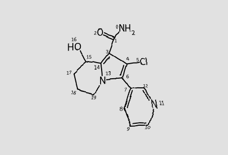 NC(=O)c1c(Cl)c(-c2cccnc2)n2c1C(O)CCC2